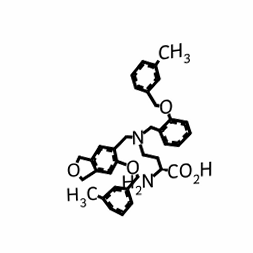 Cc1cccc(COc2ccccc2CN(CC[C@H](N)C(=O)O)Cc2cc3c(cc2OCc2cccc(C)c2)COC3)c1